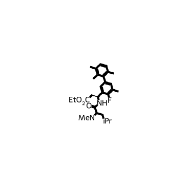 CCOC(=O)C[C@H](NC(=O)C(CC(C)C)NC)c1cc(-c2c(C)ccc(C)c2C)cc(C)c1F